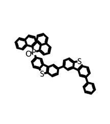 O=P(c1ccc2sc3ccc(-c4ccc5sc6ccc(-c7ccccc7)cc6c5c4)cc3c2c1)(c1cccc2ccccc12)c1cccc2ccccc12